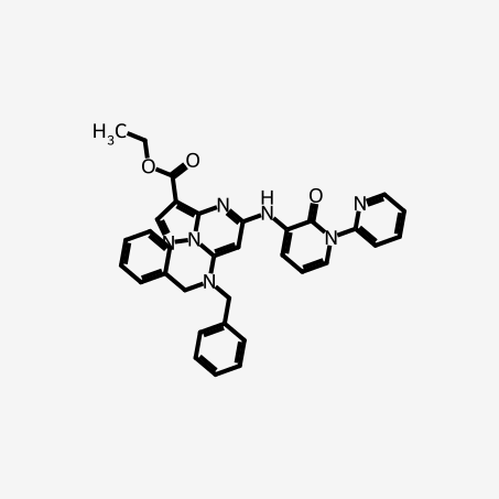 CCOC(=O)c1cnn2c(N(Cc3ccccc3)Cc3ccccc3)cc(Nc3cccn(-c4ccccn4)c3=O)nc12